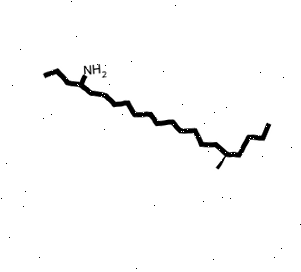 CCCC[C@@H](C)CCCCCCCCCCCCC(N)CCC